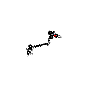 CC/C(=C(\c1ccc(O)cc1)c1ccc(OCCN(C)C(=O)CCCCCCCCCCCSc2cccc3c2C(=O)N(C2CCC(=O)NC2=O)C3=O)cc1)c1ccccc1